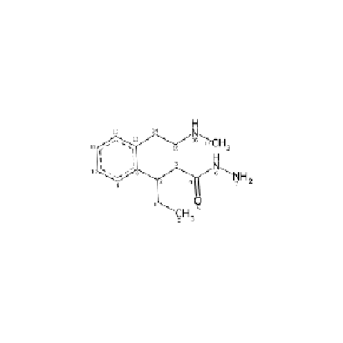 CCC(CC(=O)NN)c1ccccc1CCNC